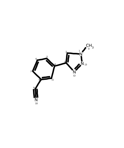 Cn1cc(-c2cccc(C#N)c2)nn1